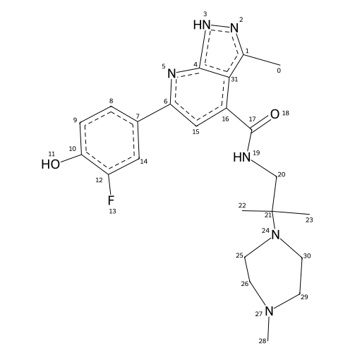 Cc1n[nH]c2nc(-c3ccc(O)c(F)c3)cc(C(=O)NCC(C)(C)N3CCN(C)CC3)c12